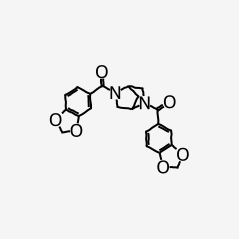 O=C(c1ccc2c(c1)OCO2)N1CC2CC1CN2C(=O)c1ccc2c(c1)OCO2